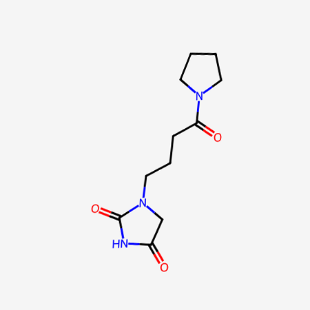 O=C1CN(CCCC(=O)N2CCCC2)C(=O)N1